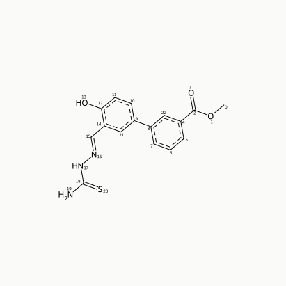 COC(=O)c1cccc(-c2ccc(O)c(C=NNC(N)=S)c2)c1